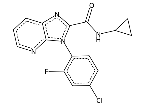 O=C(NC1CC1)c1nc2cccnc2n1-c1ccc(Cl)cc1F